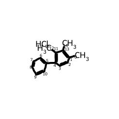 Cc1ccc(-c2ccccc2)c(C)c1C.Cl